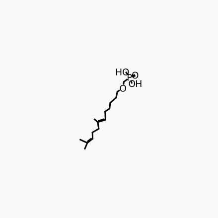 CC(C)=CCC/C(C)=C/CCCCCOCP(=O)(O)O